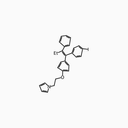 CCC(=C(c1ccc(I)cc1)c1ccc(OCCn2cccc2)cc1)c1ccccc1